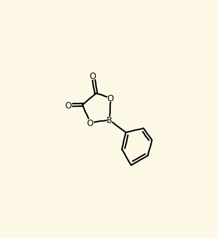 O=C1OB(c2ccccc2)OC1=O